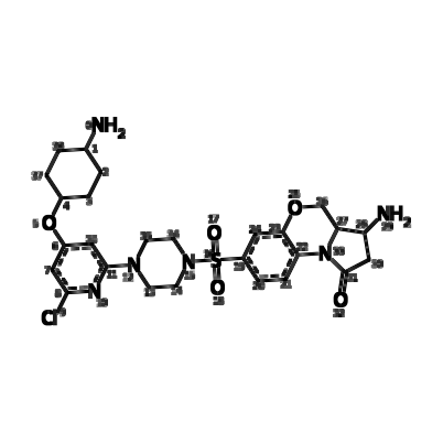 NC1CCC(Oc2cc(Cl)nc(N3CCN(S(=O)(=O)c4ccc5c(c4)OCC4C(N)CC(=O)N54)CC3)c2)CC1